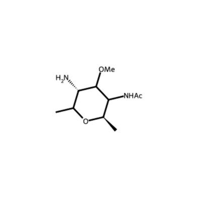 COC1C(NC(C)=O)[C@@H](C)OC(C)[C@@H]1N